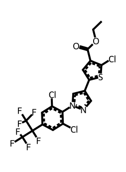 CCOC(=O)c1cc(-c2cnn(-c3c(Cl)cc(C(F)(C(F)(F)F)C(F)(F)F)cc3Cl)c2)sc1Cl